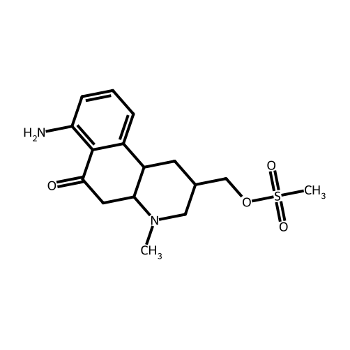 CN1CC(COS(C)(=O)=O)CC2c3cccc(N)c3C(=O)CC21